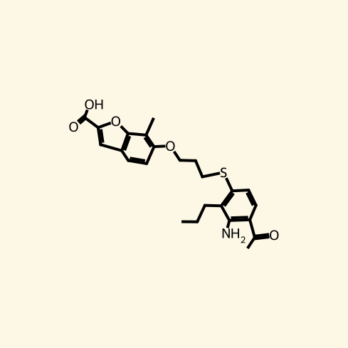 CCCc1c(SCCCOc2ccc3cc(C(=O)O)oc3c2C)ccc(C(C)=O)c1N